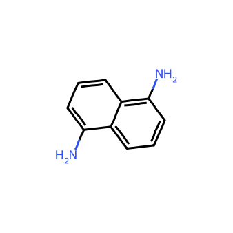 Nc1cccc2c(N)cccc12